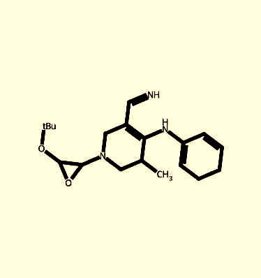 CC1CN(C2OC2OC(C)(C)C)CC(C=N)=C1NC1=CCCC=C1